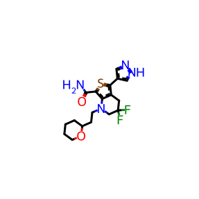 NC(=O)c1sc(-c2cn[nH]c2)c2c1N(CCC1CCCCO1)CC(F)(F)C2